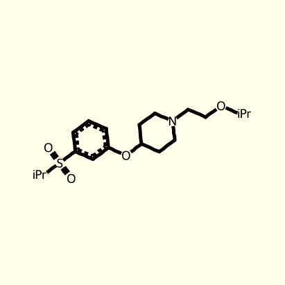 CC(C)OCCN1CCC(Oc2cccc(S(=O)(=O)C(C)C)c2)CC1